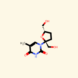 Cc1cn([C@@]2(CO)CC[C@@H](CO)O2)c(=O)[nH]c1=O